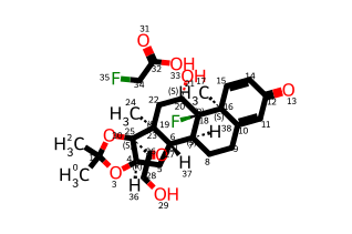 CC1(C)O[C@@H]2C[C@H]3[C@@H]4CCC5=CC(=O)C=C[C@]5(C)[C@@]4(F)[C@@H](O)C[C@]3(C)[C@]2(C(=O)CO)O1.O=C(O)CF